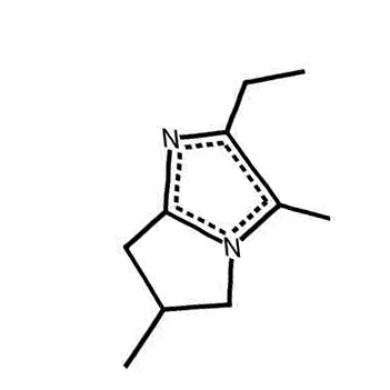 CCc1nc2n(c1C)CC(C)C2